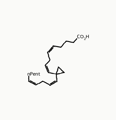 CCCCC/C=C\C/C=C\C1(/C=C\C/C=C\CCCC(=O)O)CC1